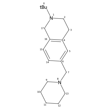 CC(C)(C)N1CCc2cc(CN3CCCCC3)ccc2C1